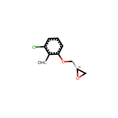 O=Cc1c(Cl)cccc1OC[C@@H]1CO1